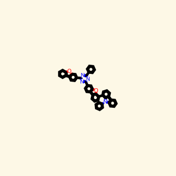 c1ccc(-c2nc(-c3ccc4c(c3)oc3ccccc34)nc(-c3ccc4c(c3)oc3c(-c5cccc6c7ccccc7n(-c7ccccc7)c56)cccc34)n2)cc1